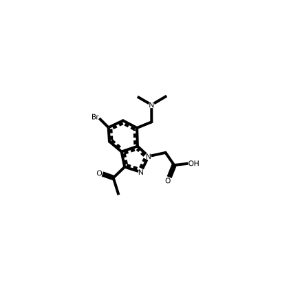 CC(=O)c1nn(CC(=O)O)c2c(CN(C)C)cc(Br)cc12